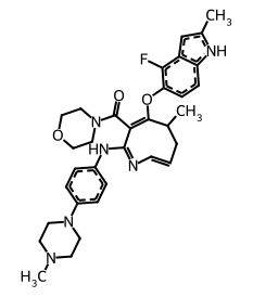 Cc1cc2c(F)c(O/C3=C(C(=O)N4CCOCC4)/C(Nc4ccc(N5CCN(C)CC5)cc4)=N\C=C\CC3C)ccc2[nH]1